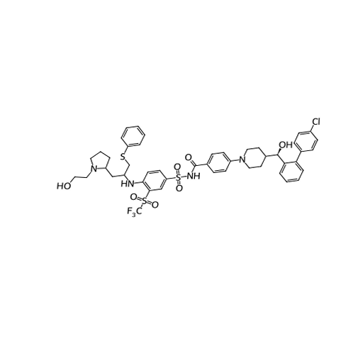 O=C(NS(=O)(=O)c1ccc(NC(CSc2ccccc2)CC2CCCN2CCO)c(S(=O)(=O)C(F)(F)F)c1)c1ccc(N2CCC([C@@H](O)c3ccccc3-c3ccc(Cl)cc3)CC2)cc1